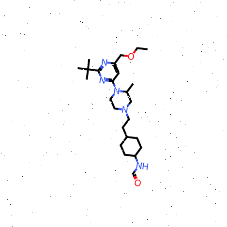 CCOCc1cc(N2CCN(CCC3CCC(NC=O)CC3)CC2C)nc(C(C)(C)C)n1